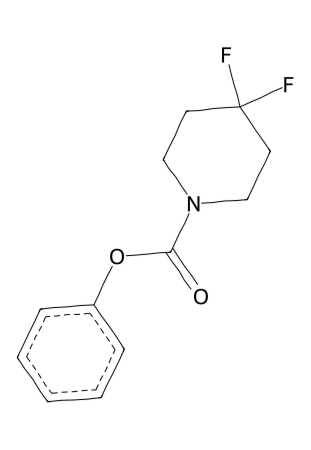 O=C(Oc1ccccc1)N1CCC(F)(F)CC1